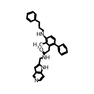 Cc1c(NCCCc2ccccc2)ccc(-c2ccccc2)c1CC(=O)NCc1cc2cnccc2[nH]1